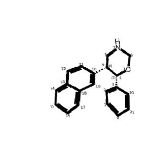 c1ccc([C@H]2OCNC[C@H]2c2ccc3ccccc3c2)cc1